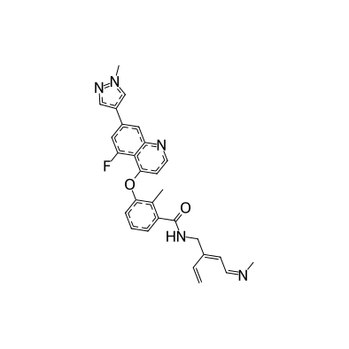 C=C/C(=C\C=N/C)CNC(=O)c1cccc(Oc2ccnc3cc(-c4cnn(C)c4)cc(F)c23)c1C